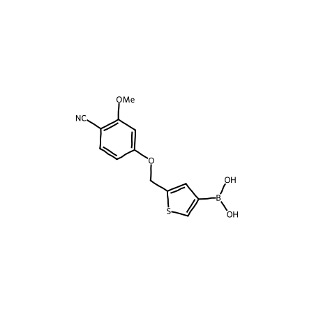 COc1cc(OCc2cc(B(O)O)cs2)ccc1C#N